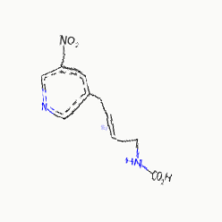 O=C(O)NC/C=C/c1cncc([N+](=O)[O-])c1